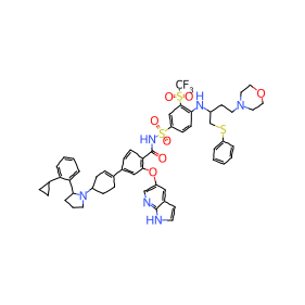 O=C(NS(=O)(=O)c1ccc(NC(CCN2CCOCC2)CSc2ccccc2)c(S(=O)(=O)C(F)(F)F)c1)c1ccc(C2=CCC(N3CCCC3c3ccccc3C3CC3)CC2)cc1Oc1cnc2[nH]ccc2c1